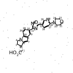 O=C(O)C[C@@H]1CCn2c1cc1cc(-c3noc(-c4ccc(N5CCOCC5)nc4)n3)ccc12